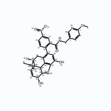 COc1ccc(CNC(=O)c2cc([N+](=O)[O-])ccc2-c2cc(O)c3c4c2C[C@@H]2[C@@H]5C=C[C@H](O)[C@H](O3)[C@]45CCN2C)cn1